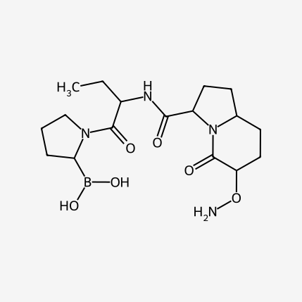 CCC(NC(=O)C1CCC2CCC(ON)C(=O)N21)C(=O)N1CCCC1B(O)O